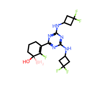 B[C@@]1(O)CCCC(c2nc(NC3CC(F)(F)C3)nc(NC3CC(F)(F)C3)n2)=C1F